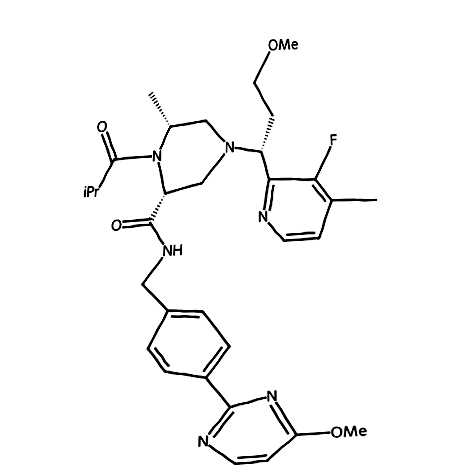 COCC[C@H](c1nccc(C)c1F)N1C[C@@H](C)N(C(=O)C(C)C)[C@@H](C(=O)NCc2ccc(-c3nccc(OC)n3)cc2)C1